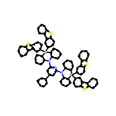 c1ccc(-c2cc(N3c4ccccc4[Si](c4ccc5sc6ccccc6c5c4)(c4ccc5sc6ccccc6c5c4)c4ccccc43)nc(N3c4ccccc4[Si](c4ccc5sc6ccccc6c5c4)(c4ccc5sc6ccccc6c5c4)c4ccccc43)c2)cc1